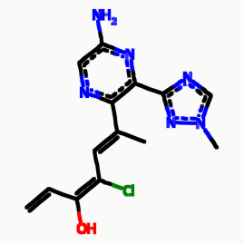 C=C/C(O)=C(Cl)\C=C(/C)c1ncc(N)nc1-c1ncn(C)n1